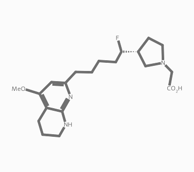 COc1cc(CCCCC(F)[C@@H]2CCN(CC(=O)O)C2)nc2c1CCCN2